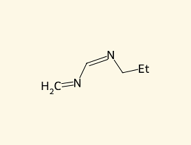 C=N/C=N\CCC